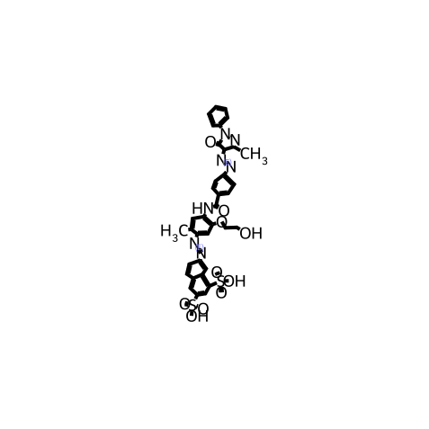 CC1=NN(c2ccccc2)C(=O)C1/N=N/c1ccc(C(=O)Nc2cc(C)c(/N=N/c3ccc4cc(S(=O)(=O)O)cc(S(=O)(=O)O)c4c3)cc2OCCO)cc1